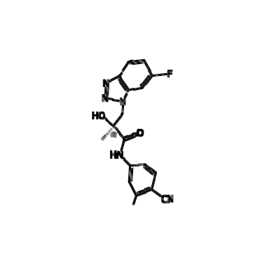 Cc1cc(NC(=O)[C@@](C)(O)Cn2nnc3ccc(F)cc32)ccc1C#N